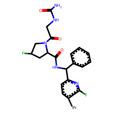 CC(C)c1ccc(C(NC(=O)C2CC(F)CN2C(=O)CNC(N)=O)c2ccccc2)nc1F